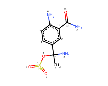 CC(N)(O[SH](=O)=O)c1ccc(N)c(C(N)=O)c1